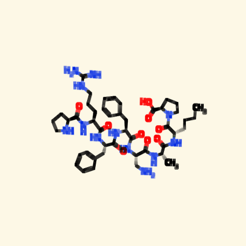 CCCC[C@H](NC(=O)[C@H](C)NC(=O)[C@H](CN)NC(=O)[C@H](Cc1ccccc1)NC(=O)[C@H](Cc1ccccc1)NC(=O)[C@H](CCCNC(=N)N)NC(=O)[C@@H]1CCCN1)C(=O)N1CCC[C@@H]1C(=O)O